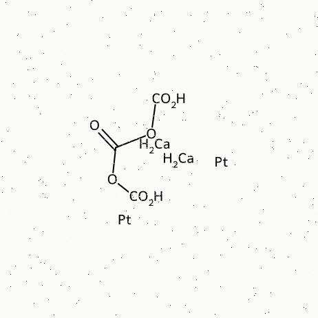 O=C(O)OC(=O)OC(=O)O.[CaH2].[CaH2].[Pt].[Pt]